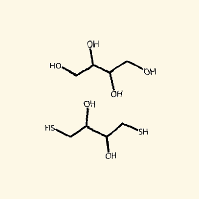 OC(CS)C(O)CS.OCC(O)C(O)CO